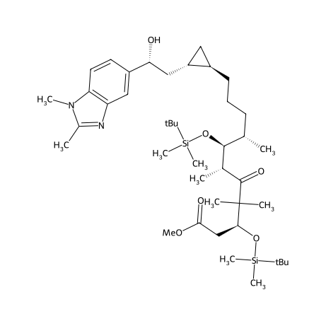 COC(=O)C[C@H](O[Si](C)(C)C(C)(C)C)C(C)(C)C(=O)[C@H](C)[C@@H](O[Si](C)(C)C(C)(C)C)[C@@H](C)CCC[C@@H]1C[C@H]1C[C@@H](O)c1ccc2c(c1)nc(C)n2C